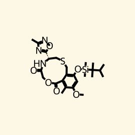 COc1cc(O[Si](C)(C)C(C)(C)C(C)C)c2c(c1C)C(=O)OCC(=O)N[C@H](c1nc(C)no1)CSC2